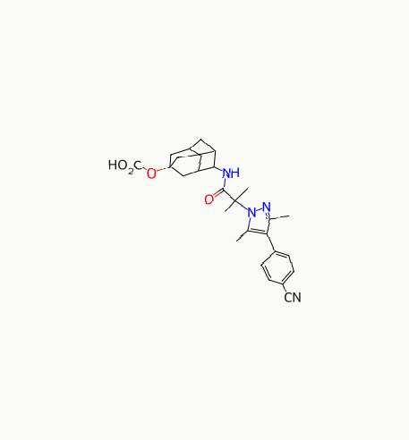 Cc1nn(C(C)(C)C(=O)NC2C3CC4CC2CC(OC(=O)O)(C4)C3)c(C)c1-c1ccc(C#N)cc1